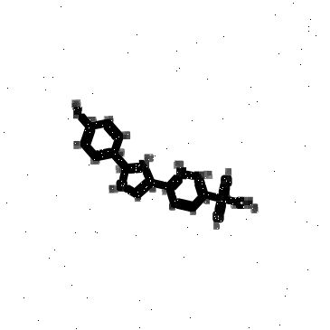 CS(=O)(=O)c1ccc(-c2coc(-c3ccc(F)cc3)n2)nn1